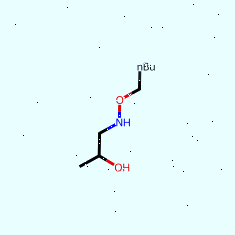 CCCCCONCC(C)O